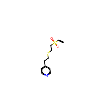 C=CS(=O)(=O)CCSCCc1ccncc1